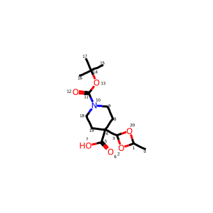 CC1OC(C2(C(=O)O)CCN(C(=O)OC(C)(C)C)CC2)O1